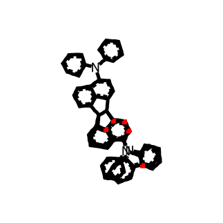 c1ccc(N(c2ccccc2)c2ccc3c4c(cccc24)C24c5cccc6c(N(c7ccccc7)c7ccccc7)ccc(c56)C32c2ccc(-n3c5ccccc5c5ccccc53)c3cccc4c23)cc1